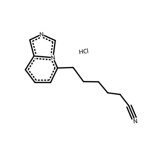 Cl.N#CCCCCCc1cccc2cncn12